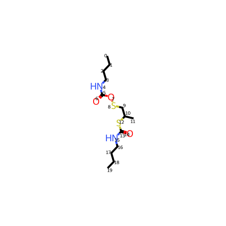 CCCCNC(=O)OSCC(C)SC(=O)NCCCC